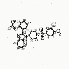 COc1ccc(S(=O)(=O)N2CCC(n3c(-c4ccccc4OC(C)=O)nc4cccnc43)CC2)cc1Cl